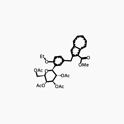 CCOc1ccc(Cc2cc3cccccc-3c2C(=O)OC)cc1[C@@H]1O[C@H](COC(C)=O)[C@@H](OC(C)=O)[C@H](OC(C)=O)[C@H]1OC(C)=O